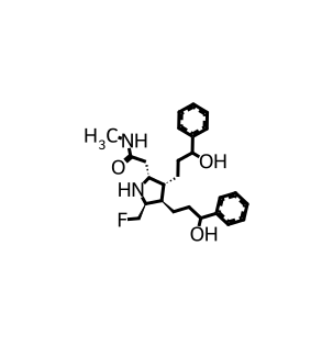 CNC(=O)C[C@H]1N[C@H](CF)[C@H](CCC(O)c2ccccc2)[C@H]1CCC(O)c1ccccc1